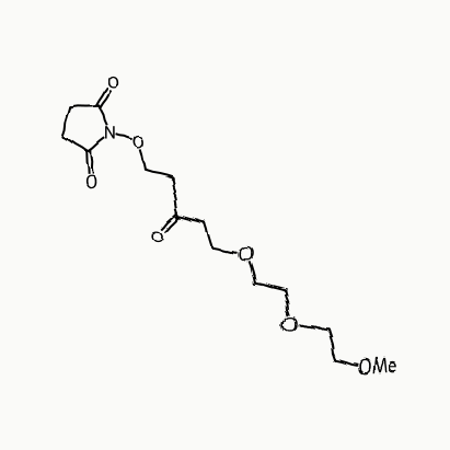 COCCOCCOCCC(=O)CCON1C(=O)CCC1=O